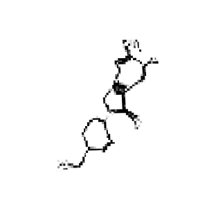 O=C1c2cc(Cl)c([N+](=O)[O-])cc2CN1[C@H]1CC[C@H](CO)CC1